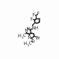 COc1nc2c(C)nnc(NCc3cccc(C(F)F)c3F)c2cc1Br